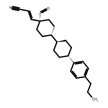 CCCc1ccc([C@H]2CC[C@H]([C@H]3CC[C@](C=O)(C=CC#N)CC3)CC2)cc1